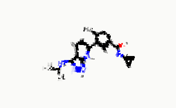 Cc1ccc(C(=O)NC2CC2)cc1-c1ccc2c(NC(C)C)n[nH]c2n1